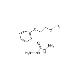 COCCOc1ccccc1.NNC(=O)NN